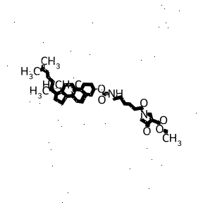 CCOC(=O)C1CN(C(=O)CCCCCNC(=O)O[C@H]2CC[C@@]3(C)C(=CCC4C5CCC(C(C)CCCC(C)C)[C@@]5(C)CCC43)C2)CC1=O